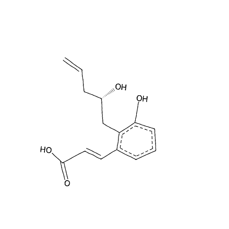 C=CC[C@H](O)Cc1c(O)cccc1/C=C/C(=O)O